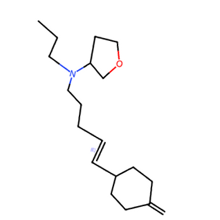 C=C1CCC(/C=C/CCCN(CCC)C2CCOC2)CC1